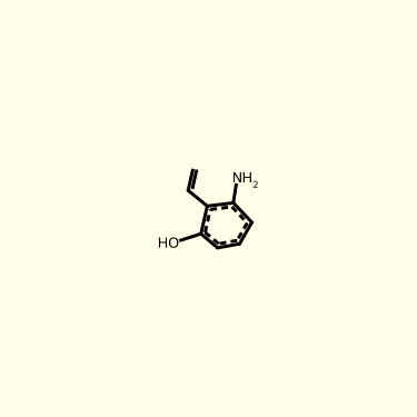 C=Cc1c(N)cccc1O